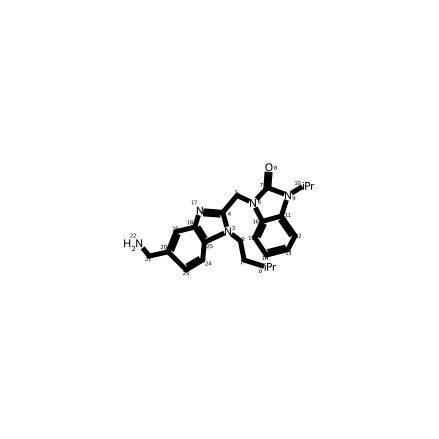 CC(C)CCn1c(Cn2c(=O)n(C(C)C)c3ccccc32)nc2cc(CN)ccc21